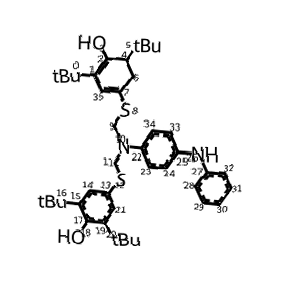 CC(C)(C)C1=C(O)C(C(C)(C)C)CC(SCN(CSc2cc(C(C)(C)C)c(O)c(C(C)(C)C)c2)c2ccc(Nc3ccccc3)cc2)=C1